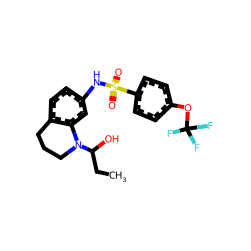 CCC(O)N1CCCc2ccc(NS(=O)(=O)c3ccc(OC(F)(F)F)cc3)cc21